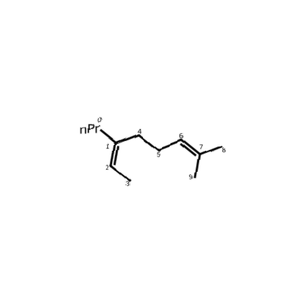 C[CH]CC(=CC)CCC=C(C)C